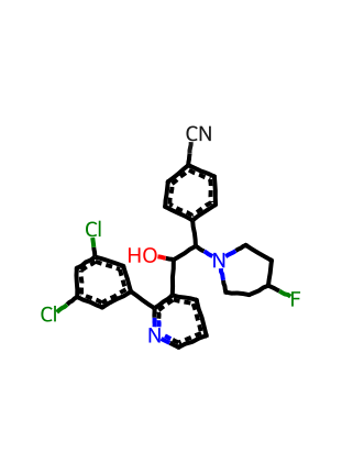 N#Cc1ccc(C(C(O)c2cccnc2-c2cc(Cl)cc(Cl)c2)N2CCC(F)CC2)cc1